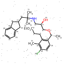 CCOC(=O)CCc1c([C@@H](C)OC[C@H](O)CNC(C)(C)CC2Cc3ccccc3C2)ccc(F)c1C